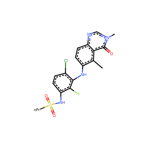 CCCS(=O)(=O)Nc1ccc(Cl)c(Nc2ccc3ncn(C)c(=O)c3c2C)c1F